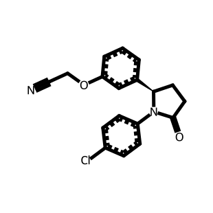 N#CCOc1cccc([C@H]2CCC(=O)N2c2ccc(Cl)cc2)c1